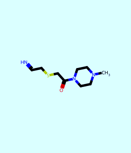 CN1CCN(C(=O)CSCC=N)CC1